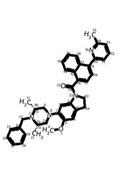 COc1cc2c(cc1N1C[C@@H](C)N(Cc3ccccc3)[C@@H](C)C1)N(C(=O)c1ccc(-c3cccc(C)n3)c3ccccc13)CC2